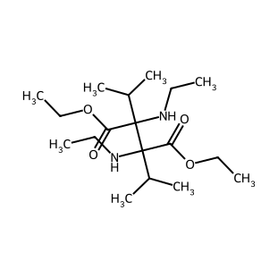 CCNC(C(=O)OCC)(C(C)C)C(NCC)(C(=O)OCC)C(C)C